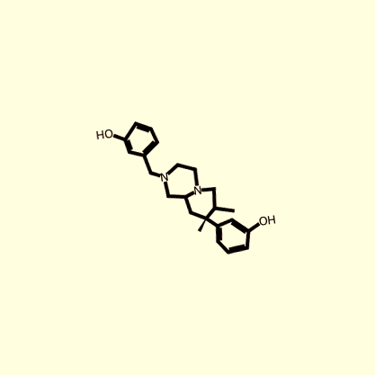 CC1CN2CCN(Cc3cccc(O)c3)CC2C[C@@]1(C)c1cccc(O)c1